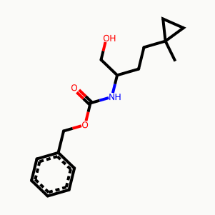 CC1(CCC(CO)NC(=O)OCc2ccccc2)CC1